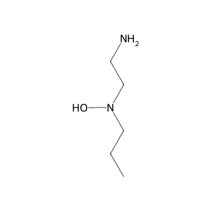 CCCN(O)CCN